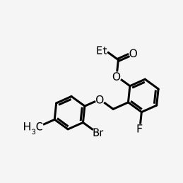 CCC(=O)Oc1cccc(F)c1COc1ccc(C)cc1Br